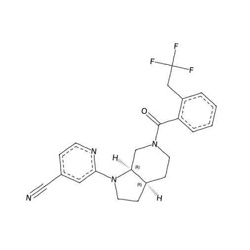 N#Cc1ccnc(N2CC[C@@H]3CCN(C(=O)c4ccccc4CC(F)(F)F)C[C@@H]32)c1